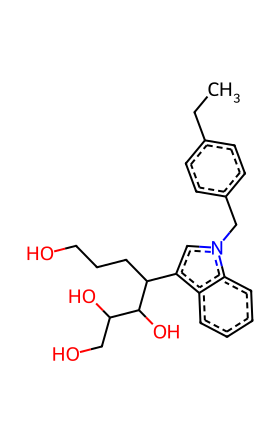 CCc1ccc(Cn2cc(C(CCCO)C(O)C(O)CO)c3ccccc32)cc1